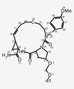 CCOCOC1CC2C(=O)NC3(C(N)=O)CC3C=CCCCCCN(Cc3ccc(OC)cc3)C(=O)N2C1